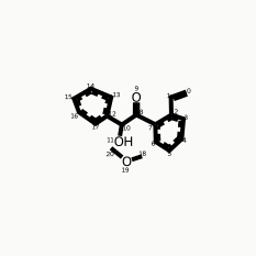 C=Cc1ccccc1C(=O)C(O)c1ccccc1.COC